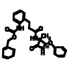 C[C@@]1(NC(=O)CCc2ccccc2NC(=O)OCc2ccccc2)C(=O)N[C@H]1Oc1ccccc1